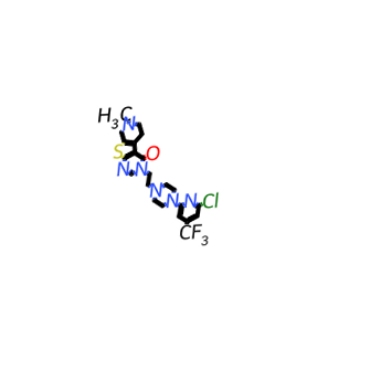 CN1CCc2c(sc3ncn(CCN4CCN(c5cc(C(F)(F)F)cc(Cl)n5)CC4)c(=O)c23)C1